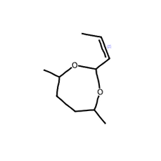 C/C=C\C1OC(C)CCC(C)O1